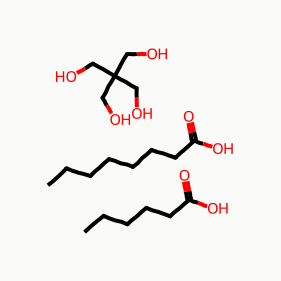 CCCCCC(=O)O.CCCCCCCC(=O)O.OCC(CO)(CO)CO